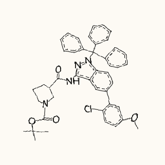 COc1ccc(Cl)c(-c2ccc3c(c2)c(NC(=O)C2CCCN(C(=O)OC(C)(C)C)C2)nn3C(c2ccccc2)(c2ccccc2)c2ccccc2)c1